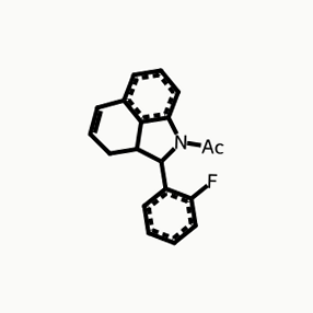 CC(=O)N1c2cccc3c2C(CC=C3)C1c1ccccc1F